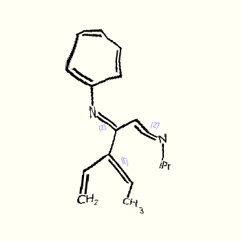 C=CC(=C\C)/C(/C=N\C(C)C)=N/c1ccccc1